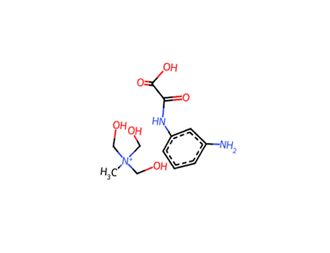 C[N+](CO)(CO)CO.Nc1cccc(NC(=O)C(=O)O)c1